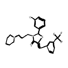 O=C1C(=Cc2cccc(C(F)(F)F)c2)SC(c2cccc(Cl)c2)N1CCCN1CCCCC1